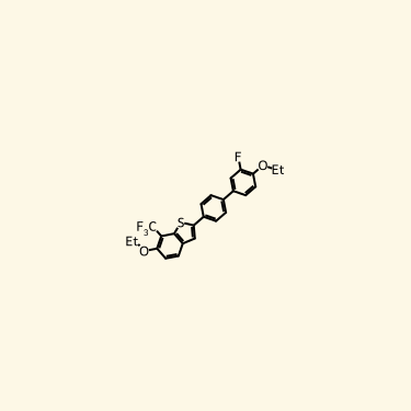 CCOc1ccc(-c2ccc(-c3cc4ccc(OCC)c(C(F)(F)F)c4s3)cc2)cc1F